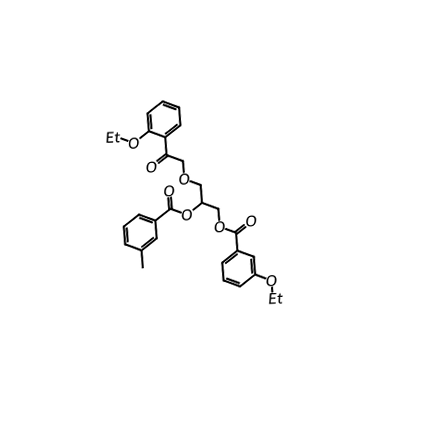 CCOc1cccc(C(=O)OCC(COCC(=O)c2ccccc2OCC)OC(=O)c2cccc(C)c2)c1